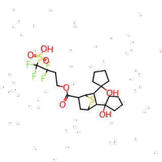 O=C(OCCC(F)(F)C(F)(F)S(=O)(=O)O)C1CC2SC1C(C1(O)CCCC1)C2C1(O)CCCC1